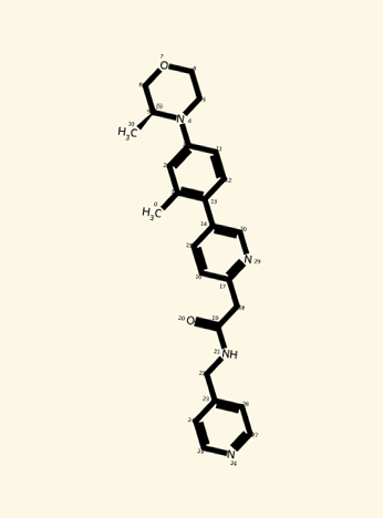 Cc1cc(N2CCOC[C@@H]2C)ccc1-c1ccc(CC(=O)NCc2ccncc2)nc1